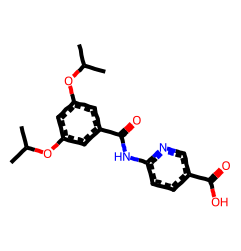 CC(C)Oc1cc(OC(C)C)cc(C(=O)Nc2ccc(C(=O)O)cn2)c1